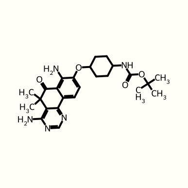 CC(C)(C)OC(=O)NC1CCC(Oc2ccc3c(c2N)C(=O)C(C)(C)c2c(N)ncnc2-3)CC1